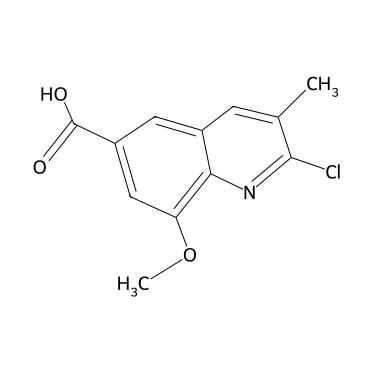 COc1cc(C(=O)O)cc2cc(C)c(Cl)nc12